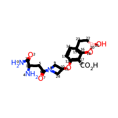 NC(=O)C(N)CC(=O)N1CC(Oc2ccc3c(c2C(=O)O)OB(O)CC3)C1